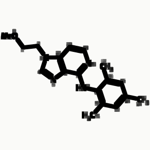 COCCn1cnc2c(Nc3c(C)cc(C(F)(F)F)cc3C)nccc21